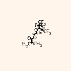 C=C(C)C(=O)OCCOC(C(F)(F)C(F)(F)F)C(F)(F)C(F)(F)F